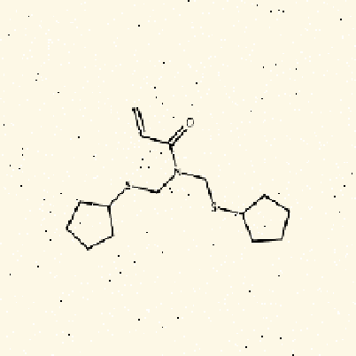 C=CC(=O)N(CSC1CCCC1)CSC1CCCC1